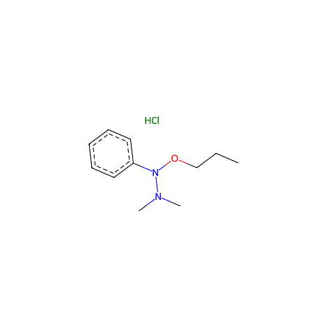 CCCON(c1ccccc1)N(C)C.Cl